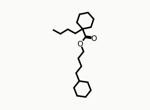 CCCCC1(C(=O)OCCCCC2CCCCC2)CCCCC1